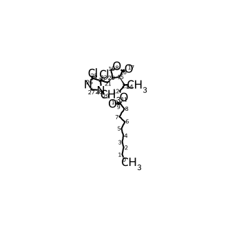 CCCCCCCCCC(=O)OCC(C)[C@@H]1C(=O)OC[C@@H]1CC1(Cl)C(Cl)N=CN1C